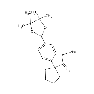 CC(C)(C)OC(=O)C1(c2ccc(B3OC(C)(C)C(C)(C)O3)cc2)CCCC1